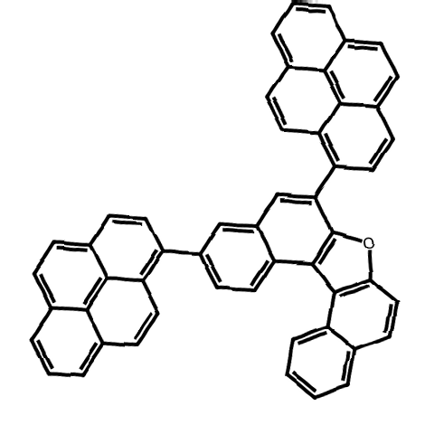 c1ccc2c(c1)ccc1oc3c(-c4ccc5ccc6cccc7ccc4c5c67)cc4cc(-c5ccc6ccc7cccc8ccc5c6c78)ccc4c3c12